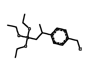 CCO[Si](CC(C)c1ccc(CCl)cc1)(OCC)OCC